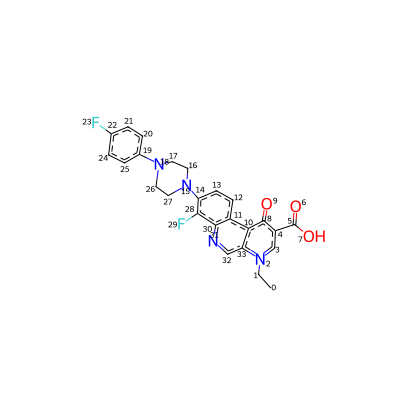 CCn1cc(C(=O)O)c(=O)c2c3ccc(N4CCN(c5ccc(F)cc5)CC4)c(F)c3ncc21